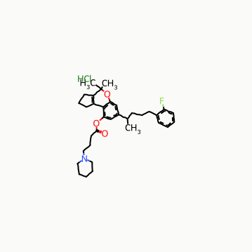 CC(CCCc1ccccc1F)c1cc(OC(=O)CCCN2CCCCC2)c2c(c1)OC(C)(C)C1=C2CCC1.Cl